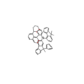 CC1(C)c2ccccc2-c2c(N(c3ccc4c(c3)C(C)(c3ccccc3)c3ccccc3-4)c3ccccc3-c3cccc4cccc(C5CCCCC5)c34)cccc21